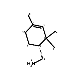 CC1=CC(C)(C)[C@H](CN)CC1